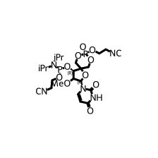 [C-]#[N+]CCOP(O[C@@H]1C(OC)[C@H](n2ccc(=O)[nH]c2=O)OC12COP(=O)(OCC[N+]#[C-])OC2)N(C(C)C)C(C)C